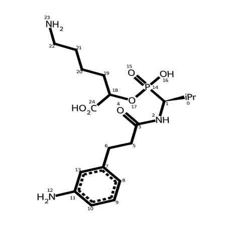 CC(C)[C@@H](NC(=O)CCc1cccc(N)c1)P(=O)(O)OC(CCCCN)C(=O)O